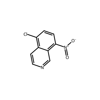 O=[N+]([O-])c1ccc(Cl)c2ccncc12